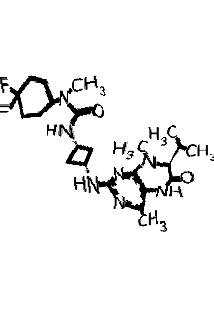 Cc1nc(N[C@H]2C[C@@H](NC(=O)N(C)C3CCC(F)(F)CC3)C2)nc2c1NC(=O)[C@H](C(C)C)N2C